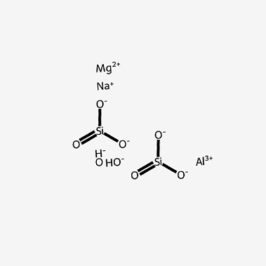 O=[Si]([O-])[O-].O=[Si]([O-])[O-].[Al+3].[Mg+2].[Na+].[OH-].[OH-]